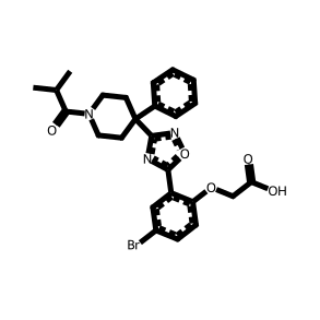 CC(C)C(=O)N1CCC(c2ccccc2)(c2noc(-c3cc(Br)ccc3OCC(=O)O)n2)CC1